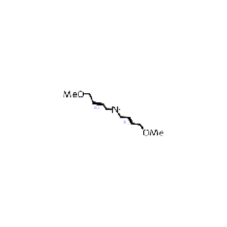 COC/C=C/C[N]C/C=C/COC